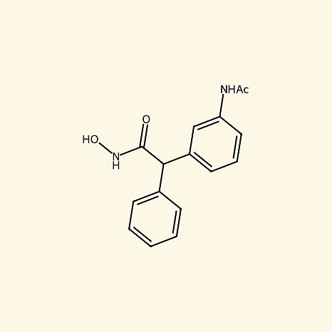 CC(=O)Nc1cccc(C(C(=O)NO)c2ccccc2)c1